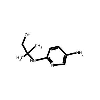 CC(C)(CO)Nc1ccc(N)cn1